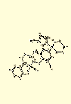 CCc1nc(C2(c3ccc(CN4[C@@H](C)CC[C@H](c5ccccc5)S4(=O)=O)c(F)c3)CCOCC2)no1